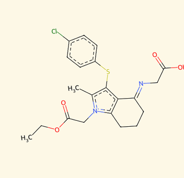 CCOC(=O)Cn1c(C)c(Sc2ccc(Cl)cc2)c2c1CCCC2=NCC(=O)O